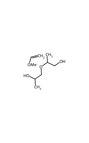 C=COC.CC(O)COC(C)CO